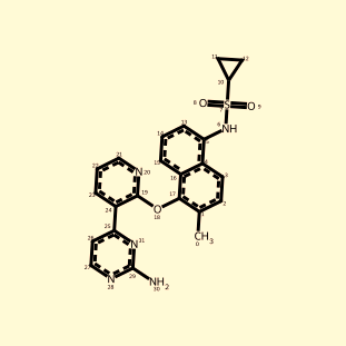 Cc1ccc2c(NS(=O)(=O)C3CC3)cccc2c1Oc1ncccc1-c1ccnc(N)n1